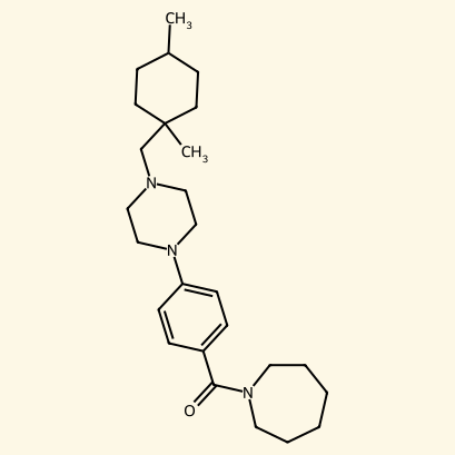 CC1CCC(C)(CN2CCN(c3ccc(C(=O)N4CCCCCC4)cc3)CC2)CC1